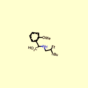 CCCCC(CC)CNC(C(=O)O)c1ccccc1OC